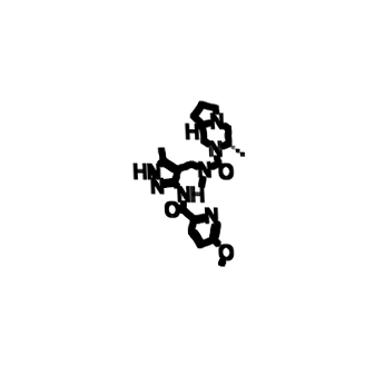 COc1ccc(C(=O)Nc2n[nH]c(C)c2CN(C)C(=O)N2C[C@@H]3CCCN3C[C@@H]2C)nc1